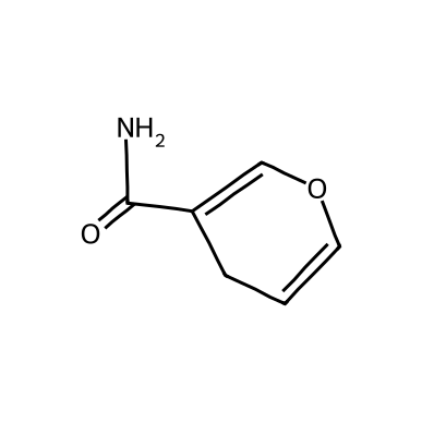 NC(=O)C1=COC=CC1